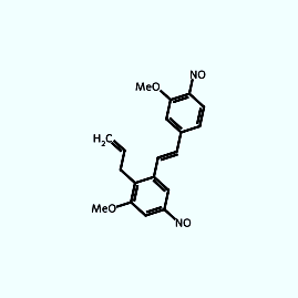 C=CCc1c(/C=C/c2ccc(N=O)c(OC)c2)cc(N=O)cc1OC